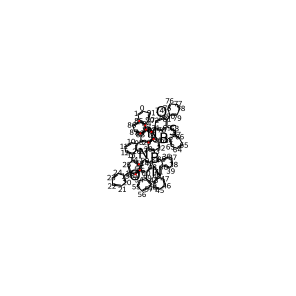 c1ccc(-c2cccc(-c3cccc(-c4cccc(-c5ccccc5)c4)c3N3c4cc5c(cc4B4c6ccccc6N(c6ccccc6)c6c4c3cc3oc4ccccc4c63)B3c4ccccc4Sc4c3c(cc3oc6ccccc6c43)N5c3ccccc3)c2)cc1